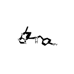 Cc1cc(NCc2ccc(C(C)C)cc2)n2ncnc2n1